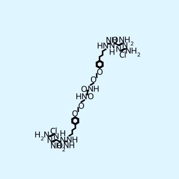 N=C(NCCCCc1ccc(OCCOCCNC(=O)C(=O)NCCOCCOc2ccc(CCCCNC(=N)NC(=O)c3nc(Cl)c(N)nc3N)cc2)cc1)NC(=O)c1nc(Cl)c(N)nc1N